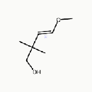 CO/C=C/C(C)(C)CO